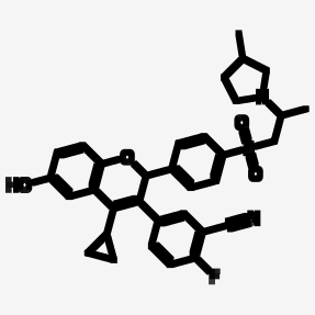 CC1CCN(C(C)CS(=O)(=O)c2ccc(C3Oc4ccc(O)cc4C(C4CC4)=C3c3ccc(F)c(C#N)c3)cc2)C1